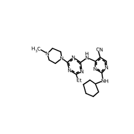 CCc1nc(Nc2nc(NC3CCCCC3)ncc2C#N)nc(N2CCN(C)CC2)n1